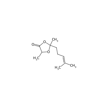 CC(C)=CCCC1(C)OC(=O)C(C)O1